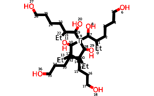 CCC(CCCCO)[CH](O)[Ti]([CH](O)C(CC)CCCCO)([CH](O)C(CC)CCCCO)[CH](O)C(CC)CCCCO